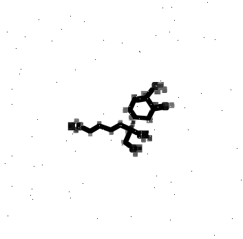 CCCCCC(C)(CO)[C@@H]1CC=C(C)C(=O)C1